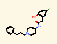 O=C(Cc1cc(Cl)ccc1O)NC1=CCN(CCCc2ccccc2)C=C1